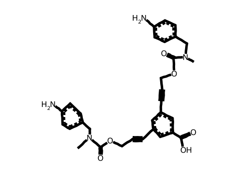 CN(Cc1ccc(N)cc1)C(=O)OCC#Cc1cc(C#CCOC(=O)N(C)Cc2ccc(N)cc2)cc(C(=O)O)c1